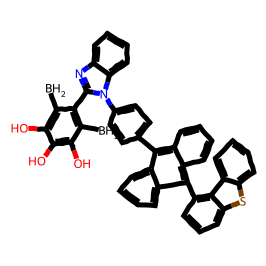 Bc1c(O)c(O)c(O)c(B)c1-c1nc2ccccc2n1-c1ccc(-c2c3ccccc3c(-c3cccc4sc5ccccc5c34)c3ccccc23)cc1